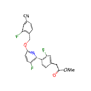 COC(=O)Cc1ccc(-c2nc(OCc3ccc(C#N)cc3F)ccc2F)c(F)c1